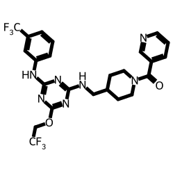 O=C(c1cccnc1)N1CCC(CNc2nc(Nc3cccc(C(F)(F)F)c3)nc(OCC(F)(F)F)n2)CC1